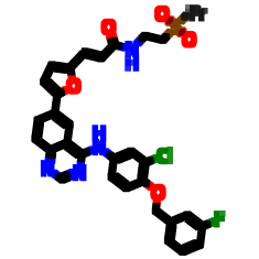 CC(C)S(=O)(=O)CCNC(=O)C=Cc1ccc(-c2ccc3ncnc(Nc4ccc(OCc5cccc(F)c5)c(Cl)c4)c3c2)o1